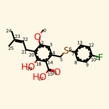 COc1cc(CSc2ccc(F)cc2)c(C(=O)O)c(O)c1CC=C(C)C